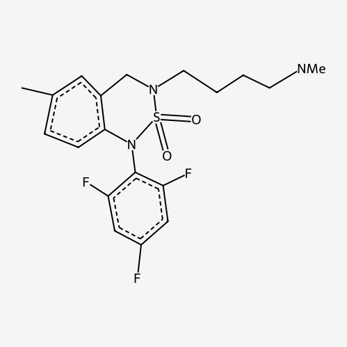 CNCCCCN1Cc2cc(C)ccc2N(c2c(F)cc(F)cc2F)S1(=O)=O